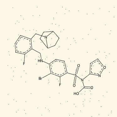 O=C(O)N(c1ccon1)S(=O)(=O)c1ccc(NCc2c(F)cccc2CN2C3CCC2CC3)c(Br)c1F